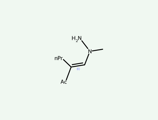 CCC/C(=C\N(C)N)C(C)=O